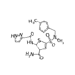 Cc1ccc(CN(C)S(=O)(=O)C2=CC(C(N)=O)C(NC(=O)c3cc[nH]n3)S2)cc1